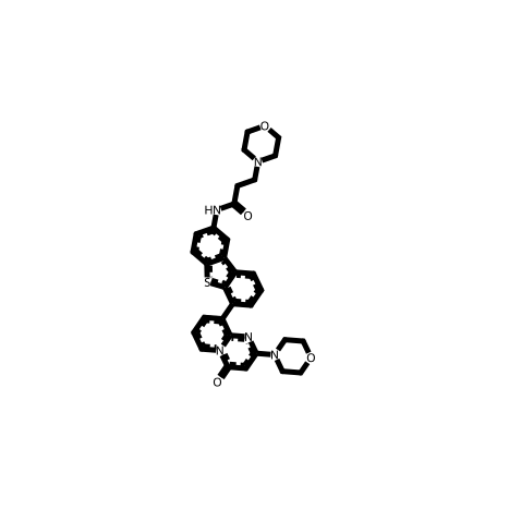 O=C(CCN1CCOCC1)Nc1ccc2sc3c(-c4cccn5c(=O)cc(N6CCOCC6)nc45)cccc3c2c1